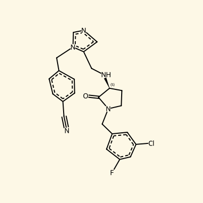 N#Cc1ccc(Cn2cncc2CN[C@H]2CCN(Cc3cc(F)cc(Cl)c3)C2=O)cc1